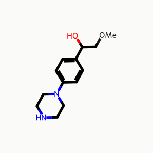 COCC(O)c1ccc(N2CCNCC2)cc1